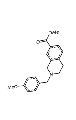 COC(=O)c1ccc2c(c1)CN(Cc1ccc(OC)cc1)CC2